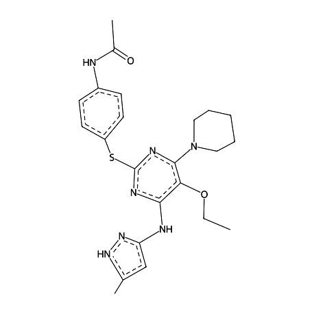 CCOc1c(Nc2cc(C)[nH]n2)nc(Sc2ccc(NC(C)=O)cc2)nc1N1CCCCC1